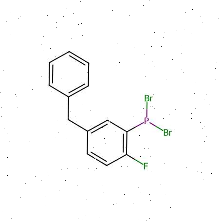 Fc1ccc(Cc2ccccc2)cc1P(Br)Br